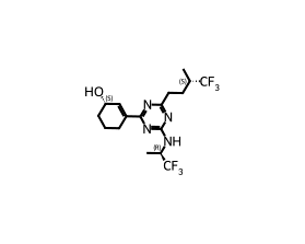 C[C@@H](CCc1nc(N[C@H](C)C(F)(F)F)nc(C2=C[C@@H](O)CCC2)n1)C(F)(F)F